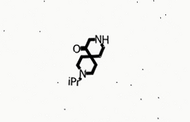 CC(C)N1CCC2(CCNCC2=O)CC1